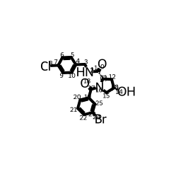 O=C(NCc1ccc(Cl)cc1)[C@@H]1C[C@@H](O)CN1C(=O)c1cccc(Br)c1